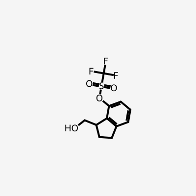 O=S(=O)(Oc1cccc2c1C(CO)CC2)C(F)(F)F